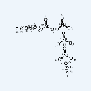 O.O=[N+]([O-])[O-].O=[N+]([O-])[O-].O=[N+]([O-])[O-].O=[N+]([O-])[O-].[O-2].[O-2].[O-2].[O-2].[Zr+4].[Zr+4].[Zr+4]